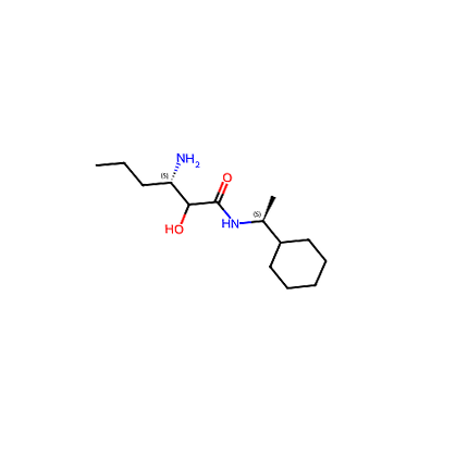 CCC[C@H](N)C(O)C(=O)N[C@@H](C)C1CCCCC1